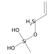 C=C[SiH2]O[Si](C)(O)O